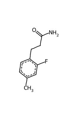 Cc1ccc(CCC(N)=O)c(F)c1